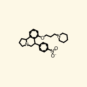 O=[N+]([O-])c1ccc(C2CN3CCCC3c3cccc(OCCCN4CCCCC4)c32)cc1